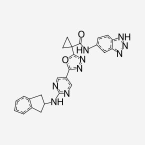 O=C(Nc1ccc2[nH]nnc2c1)C1(c2nnc(-c3cnc(NC4Cc5ccccc5C4)nc3)o2)CC1